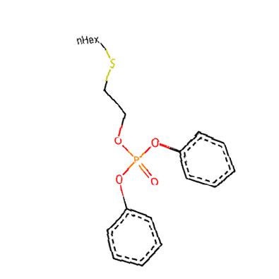 CCCCCCSCCOP(=O)(Oc1ccccc1)Oc1ccccc1